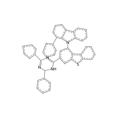 c1ccc(C2=NC(c3ccccc3)NC(c3cc(-n4c5ccccc5c5cccc(-c6ccccc6)c54)c4c(c3)sc3ccccc34)=N2)cc1